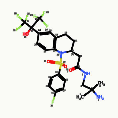 CC(C)(N)CNC(=O)C[C@@H]1CCc2cc(C(O)(C(F)(F)F)C(F)(F)F)ccc2N1S(=O)(=O)c1ccc(F)cc1